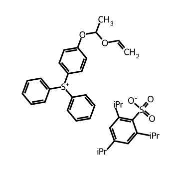 C=COC(C)Oc1ccc([S+](c2ccccc2)c2ccccc2)cc1.CC(C)c1cc(C(C)C)c(S(=O)(=O)[O-])c(C(C)C)c1